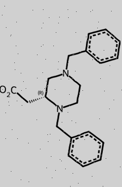 O=C(O)C[C@@H]1CN(Cc2ccccc2)CCN1Cc1ccccc1